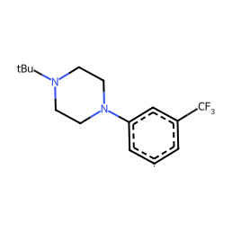 CC(C)(C)N1CCN(c2c[c]cc(C(F)(F)F)c2)CC1